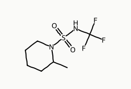 CC1CCCCN1S(=O)(=O)NC(F)(F)F